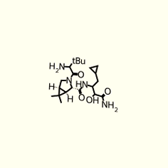 CC(C)(C)C(N)C(=O)N1C[C@H]2[C@@H]([C@H]1C(=O)NC(CC1CC1)C(O)C(N)=O)C2(C)C